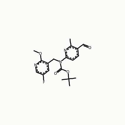 COc1ncc(F)cc1CN(C(=O)OC(C)(C)C)c1ccc(C=O)c(C)n1